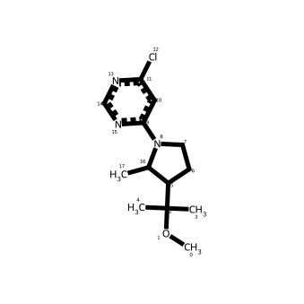 COC(C)(C)C1CCN(c2cc(Cl)ncn2)C1C